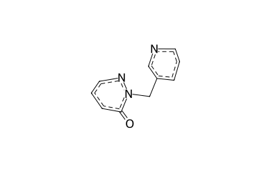 O=c1cccnn1Cc1cccnc1